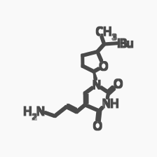 CCC(C)C(C)C1CC[C@H](n2cc(/C=C/CN)c(=O)[nH]c2=O)O1